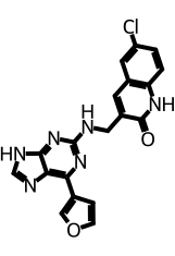 O=c1[nH]c2ccc(Cl)cc2cc1CNc1nc(-c2ccoc2)c2nc[nH]c2n1